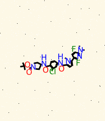 CN(C)c1nc(F)c(-c2ccc(C(=O)Nc3ccc(C(=O)NC4CCN(C(=O)OC(C)(C)C)CC4)c(Cl)c3)n2C)cc1F